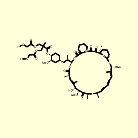 CCSCC(=O)OCC(C)(COC(=O)CSCC)C(=O)O[C@@H]1CC[C@@H](C[C@@H](C)[C@@H]2CC(=O)[C@H](C)/C=C(\C)[C@@H](O)[C@@H](OC)C(=O)[C@H](C)C[C@H](C)/C=C/C=C/C=C(\C)[C@@H](OC)C[C@@H]3CC[C@@H](C)[C@@](O)(O3)C(=O)C(=O)N3CCCC[C@H]3C(=O)O2)C[C@H]1OC